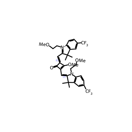 COCCN1/C(=C\C2=C(OC)C(=C\C3=[N+](CCOC)c4ccc(C(F)(F)F)cc4C3(C)C)/C2=O)C(C)(C)c2cc(C(F)(F)F)ccc21